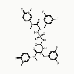 CN(C(=O)[C@H](Cc1cc(F)cc(F)c1)NC(=O)NS(=O)(=O)N[C@@H](Cc1cc(F)cc(F)c1)C(=O)N(C)c1ccc(=O)n(C)c1)c1ccc(=O)n(C)c1